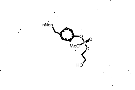 CCCCCCCCCCc1ccc(OP(=O)(OC)OCCO)cc1